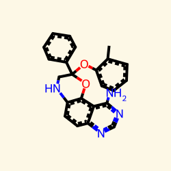 Cc1ccccc1OC1(c2ccccc2)CNc2ccc3ncnc(N)c3c2O1